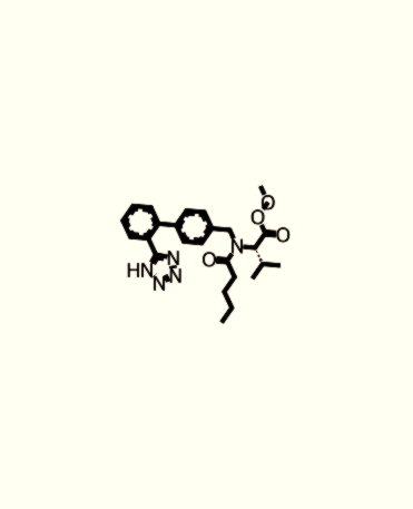 CCCCC(=O)N(Cc1ccc(-c2ccccc2-c2nnn[nH]2)cc1)[C@H](C(=O)OOC)C(C)C